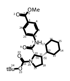 COC(=O)c1ccc(NC(=O)[C@@H]2[C@H](C3CCCCC3)CCN2C(=O)OC(C)(C)C)cc1